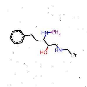 CC(C)CNC[C@@H](O)[C@H](CCc1ccccc1)NP